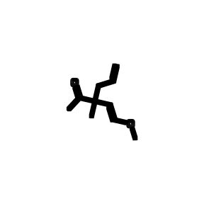 C=CCC(C)(C=COC)C(C)=O